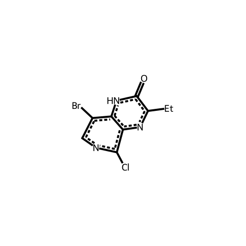 CCc1nc2c(Cl)ncc(Br)c2[nH]c1=O